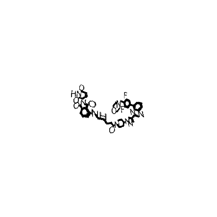 O=C1CCC(N2C(=O)c3cccc(NCCCCC(=O)N4CCC(n5cc(-c6cnc7cccc(-c8cc(F)c(CN9CCOCC9)c(F)c8)c7n6)cn5)CC4)c3C2=O)C(=O)N1